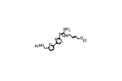 CCOCC=CCNC(N)=Nc1nc(-c2ccc(CNC(C)=O)o2)cs1